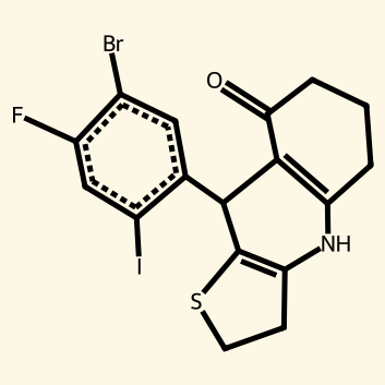 O=C1CCCC2=C1C(c1cc(Br)c(F)cc1I)C1=C(CCS1)N2